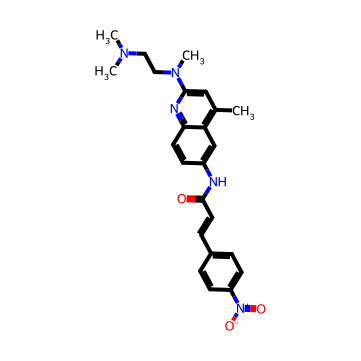 Cc1cc(N(C)CCN(C)C)nc2ccc(NC(=O)C=Cc3ccc([N+](=O)[O-])cc3)cc12